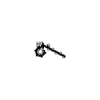 COCCOCCOCCOCCOC(=O)CCC(CO)(CO)CCC(=O)OCC(C)OCC(C)OCC(C)OCC(C)OC